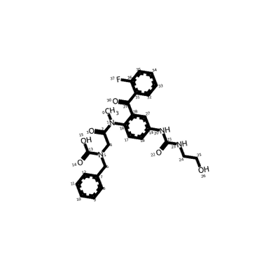 CN(C(=O)CN(Cc1ccccc1)C(=O)O)c1ccc(NC(=O)NCCO)cc1C(=O)c1ccccc1F